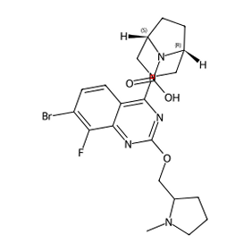 CN1CCCC1COc1nc(N2C[C@H]3CC[C@@H](C2)N3C(=O)O)c2ccc(Br)c(F)c2n1